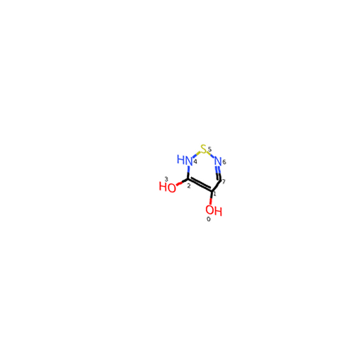 OC1=C(O)NSN=C1